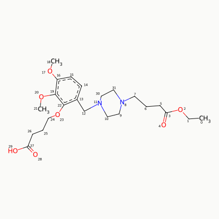 CCOC(=O)CCCN1CCN(Cc2ccc(OC)c(OC)c2OCCCC(=O)O)CC1